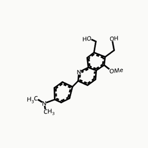 COc1c(CO)c(CO)cc2nc(-c3ccc(N(C)C)cc3)ccc12